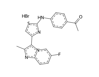 Br.CC(=O)c1ccc(Nc2nc(-c3c(C)nc4ccc(F)cn34)cs2)cc1